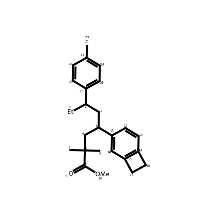 CCC(CC(CC(C)(C)C(=O)OC)c1ccc2c(c1)CC2)c1ccc(F)cc1